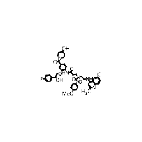 COc1ccc(S(=O)(=O)N(CCNc2cc(C)nc3ccc(Cl)cc23)CCC(=O)Nc2ccc(C(=O)N3CCC(O)CC3)cc2OCC(O)c2ccc(F)cc2)cc1